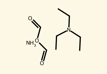 CCN(CC)CC.N.O=COC=O